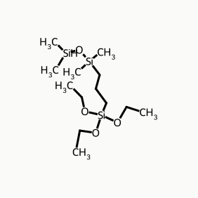 CCO[Si](CCC[Si](C)(C)O[SiH](C)C)(OCC)OCC